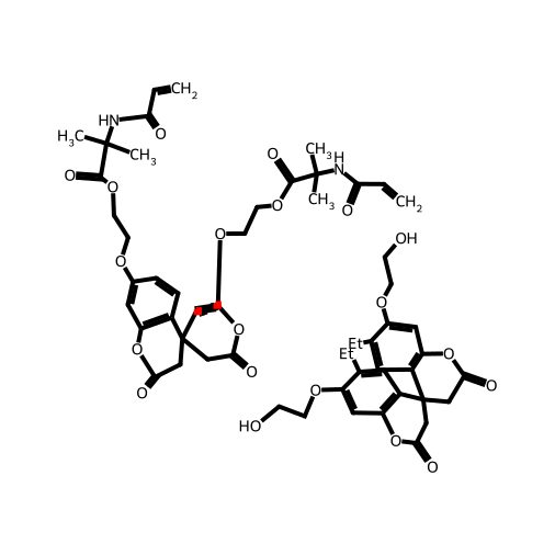 C=CC(=O)NC(C)(C)C(=O)OCCOc1ccc2c(c1)OC(=O)CC21CC(=O)Oc2cc(OCCOC(=O)C(C)(C)NC(=O)C=C)ccc21.CCc1cc2c(cc1OCCO)OC(=O)CC21CC(=O)Oc2cc(OCCO)c(CC)cc21